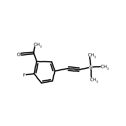 CC(=O)c1cc(C#C[Si](C)(C)C)ccc1F